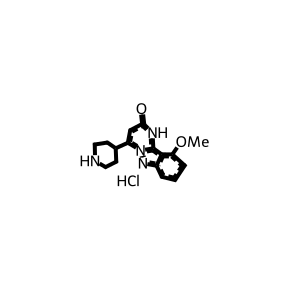 COc1cccc2nn3c(C4CCNCC4)cc(=O)[nH]c3c12.Cl